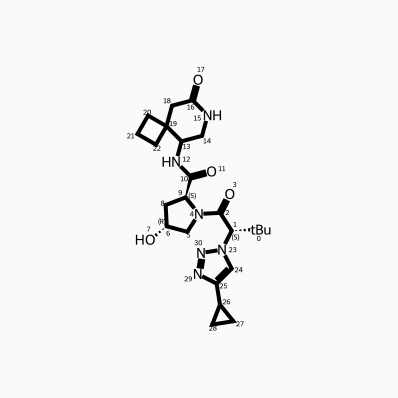 CC(C)(C)[C@@H](C(=O)N1C[C@H](O)C[C@H]1C(=O)NC1CNC(=O)CC12CCC2)n1cc(C2CC2)nn1